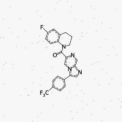 O=C(c1cn2c(-c3ccc(C(F)(F)F)cc3)cnc2cn1)N1CCCc2cc(F)ccc21